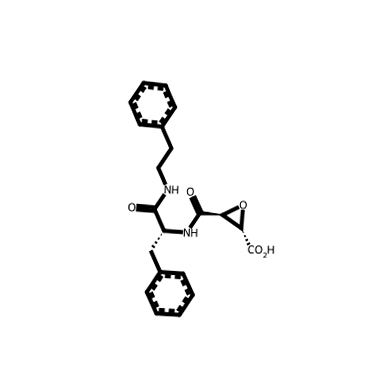 O=C(O)[C@H]1O[C@@H]1C(=O)N[C@H](Cc1ccccc1)C(=O)NCCc1ccccc1